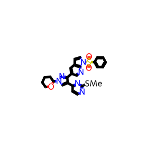 CSc1nccc(-c2cn(C3CCCCO3)nc2-c2cnc3c(ccn3S(=O)(=O)c3ccccc3)c2)n1